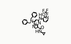 O=C(NC1CC1)c1cnn2c(N(Cc3ccccc3)Cc3ccccc3)cc(Nc3cccnc3OC(F)(F)F)nc12